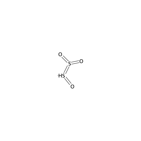 O=[SH]=S(=O)=O